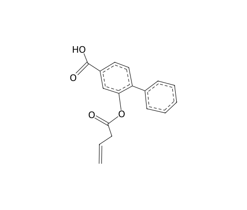 C=CCC(=O)Oc1cc(C(=O)O)ccc1-c1ccccc1